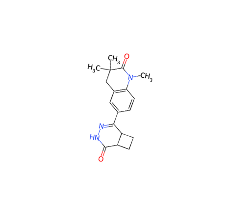 CN1C(=O)C(C)(C)Cc2cc(C3=NNC(=O)C4CCC34)ccc21